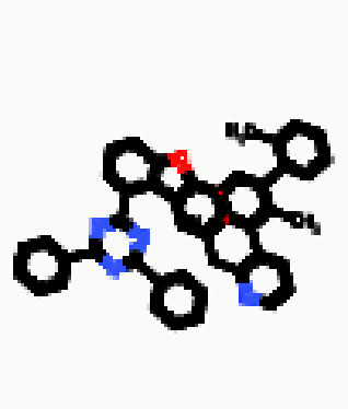 Cc1ccccc1-c1ccc(C)c(-c2cccnc2Cc2ccc3oc4cccc(-c5nc(-c6ccccc6)nc(-c6ccccc6)n5)c4c3c2)c1C